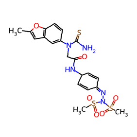 Cc1cc2cc(N(CC(=O)NC3C=CC(=NN(S(C)(=O)=O)S(C)(=O)=O)C=C3)C(N)=S)ccc2o1